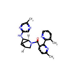 Cc1ccc(C(=O)N2C[C@H]3C[C@@H](Nc4cnc(C(F)(F)F)cn4)[C@@H]2C3)c(-c2ncccc2C)n1